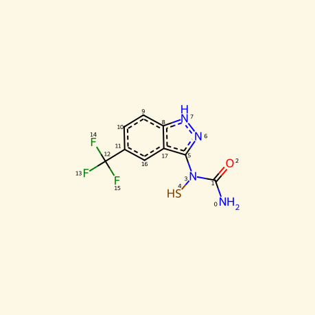 NC(=O)N(S)c1n[nH]c2ccc(C(F)(F)F)cc12